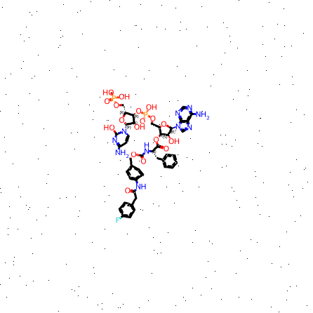 NC1=NC(O)N([C@@H]2O[C@H](COP(=O)(O)O)[C@H](OP(=O)(O)OCC3O[C@@H](n4cnc5c(N)ncnc54)[C@@H](O)[C@H]3OC(=O)[C@H](Cc3ccccc3)NC(=O)OCc3ccc(NC(=O)Cc4ccc(F)cc4)cc3)[C@@H]2O)C=C1